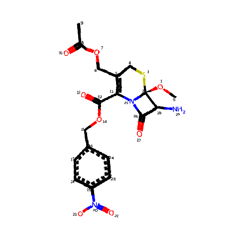 CO[C@]12SCC(COC(C)=O)=C(C(=O)OCc3ccc([N+](=O)[O-])cc3)N1C(=O)C2N